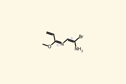 C=C/C(=N\C=C(/N)Br)OC